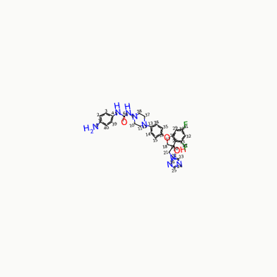 Nc1ccc(NC(=O)NN2CCN(c3ccc(OCC(O)(Cn4cncn4)c4ccc(F)cc4F)cc3)CC2)cc1